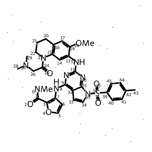 CNC(=O)c1occc1Nc1nc(Nc2cc3c(cc2OC)CCCN3C(=O)CN(C)C)nc2c1ccn2S(=O)(=O)c1ccc(C)cc1